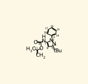 C=C(C)OC(=O)Nc1cc(C(C)(C)C)nn1-c1ccccc1